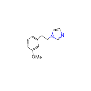 COc1cccc(CCn2ccnc2)c1